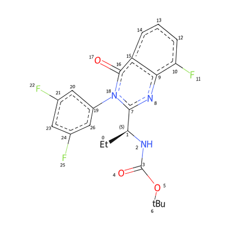 CC[C@H](NC(=O)OC(C)(C)C)c1nc2c(F)cccc2c(=O)n1-c1cc(F)cc(F)c1